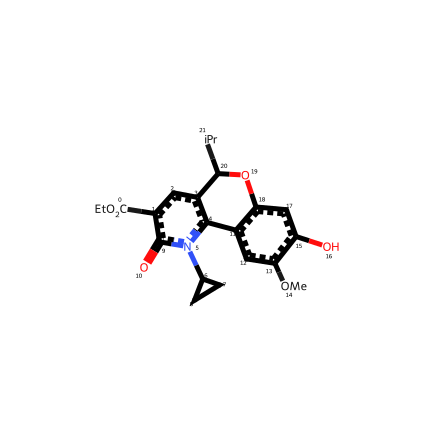 CCOC(=O)c1cc2c(n(C3CC3)c1=O)-c1cc(OC)c(O)cc1OC2C(C)C